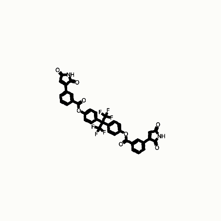 O=C1C=C(c2cccc(C(=O)Oc3ccc(C(c4ccc(OC(=O)c5cccc(C6=CC(=O)NC6=O)c5)cc4)(C(F)(F)F)C(F)(F)F)cc3)c2)C(=O)N1